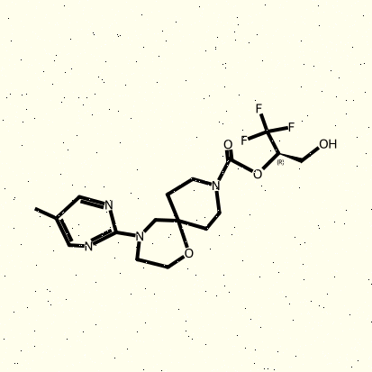 Cc1cnc(N2CCOC3(CCN(C(=O)O[C@H](CO)C(F)(F)F)CC3)C2)nc1